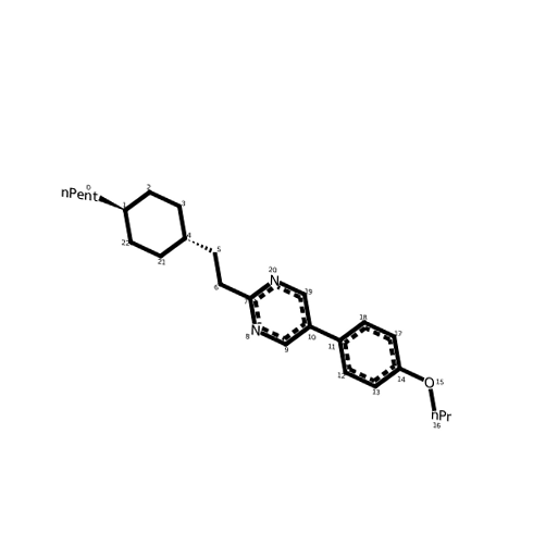 CCCCC[C@H]1CC[C@H](CCc2ncc(-c3ccc(OCCC)cc3)cn2)CC1